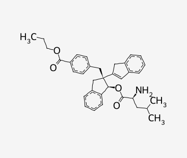 CCCOC(=O)c1ccc(C[C@]2(C3=Cc4ccccc4C3)Cc3ccccc3[C@@H]2OC(=O)[C@@H](N)CC(C)C)cc1